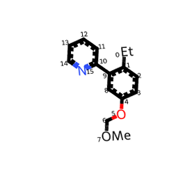 CCc1ccc(OCOC)cc1-c1ccccn1